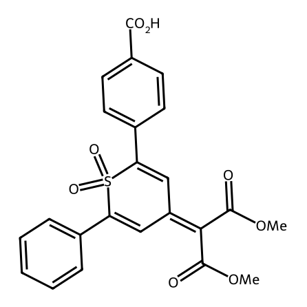 COC(=O)C(C(=O)OC)=C1C=C(c2ccccc2)S(=O)(=O)C(c2ccc(C(=O)O)cc2)=C1